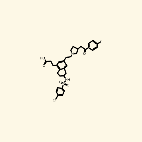 O=C(O)CCc1cc(CCN2CCC(CC(=O)c3ccc(F)cc3)C2)cc2c1CCC(NS(=O)(=O)c1ccc(Cl)cc1)C2